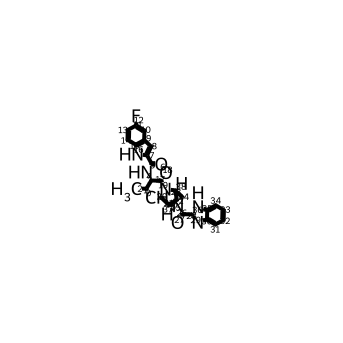 CC(C)[C@H](NC(=O)c1cc2cc(F)ccc2[nH]1)C(=O)N1C[C@@H]2C[C@H]1CN2C(=O)c1nc2ccccc2[nH]1